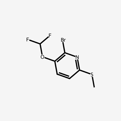 CSc1ccc(OC(F)F)c(Br)n1